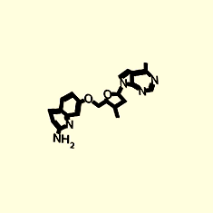 Cc1ncnc2c1ccn2C1CC(C)C(COc2ccc3ccc(N)nc3c2)O1